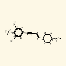 CCC[C@H]1CC[C@H](/C=C/C#Cc2cc(F)c(C(F)(F)F)c(F)c2)CC1